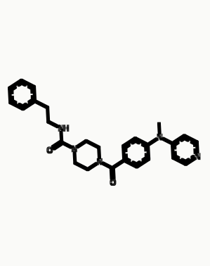 CN(c1ccncc1)c1ccc(C(=O)N2CCN(C(=O)NCCc3ccccc3)CC2)cc1